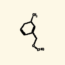 CC1C=C(COC=O)C=CC1